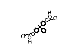 CC(c1ccccc1)(c1ccc(OCC(O)CCl)cc1)c1ccc(OCC(O)CCl)cc1